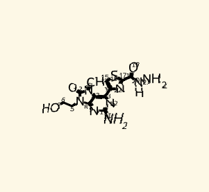 Cn1c(=O)n(CCO)c2nc(N)nc(-c3csc(C(=O)NN)n3)c21